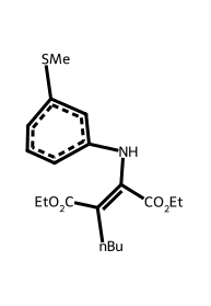 CCCCC(C(=O)OCC)=C(Nc1cccc(SC)c1)C(=O)OCC